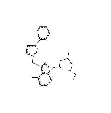 CC(=O)OC[C@H]1O[C@@H](n2cc(Cc3ccc(-c4ccccn4)s3)c3c(C)cccc32)[C@H](OC(C)=O)[C@@H](OC(C)=O)[C@@H]1OC(C)=O